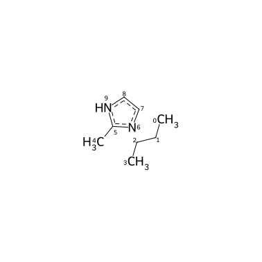 CCCC.Cc1ncc[nH]1